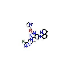 C[C@@H]1Cn2cnc(F)c2CN1c1nc(OC[C@H]2CCCN2C)nc2c1CCN(c1cccc3cccnc13)C2